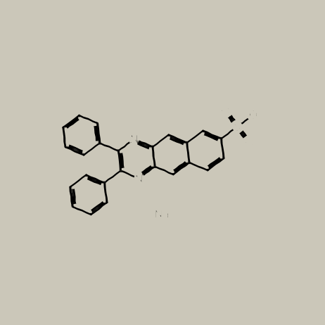 O=S(=O)([O-])c1ccc2cc3nc(-c4ccccc4)c(-c4ccccc4)nc3cc2c1.[Na+]